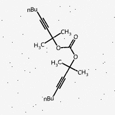 CCCCC#CC(C)(C)OC(=O)OC(C)(C)C#CCCCC